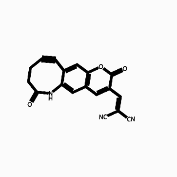 N#CC(C#N)=Cc1cc2cc3c(cc2oc1=O)C#CCCC(=O)N3